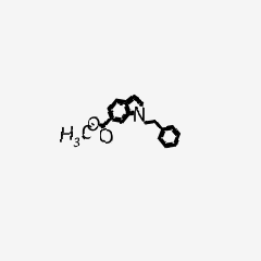 COC(=O)c1ccc2ccn(CCc3ccccc3)c2c1